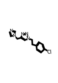 Clc1ccc(CCn2cc(Cn3ccnc3)nn2)cc1